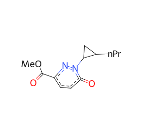 CCCC1CC1n1nc(C(=O)OC)ccc1=O